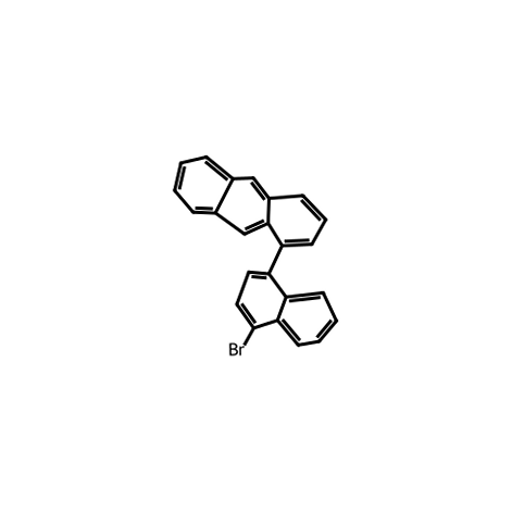 Brc1ccc(-c2cccc3cc4ccccc4cc23)c2ccccc12